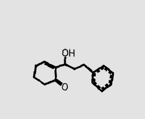 O=C1CCCC=C1C(O)CCc1ccccc1